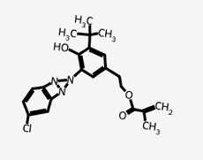 C=C(C)C(=O)OCCc1cc(-n2n3c4ccc(Cl)cc4n23)c(O)c(C(C)(C)C)c1